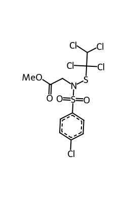 COC(=O)CN(SC(Cl)(Cl)C(Cl)Cl)S(=O)(=O)c1ccc(Cl)cc1